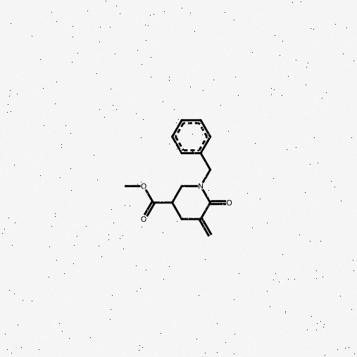 C=C1CC(C(=O)OC)CN(Cc2ccccc2)C1=O